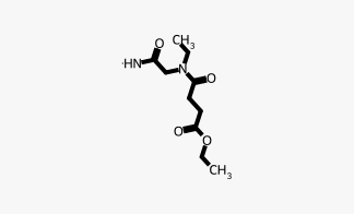 CCOC(=O)CCC(=O)N(CC)CC([NH])=O